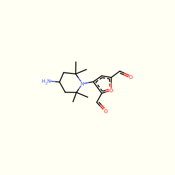 CC1(C)CC(N)CC(C)(C)N1c1cc(C=O)oc1C=O